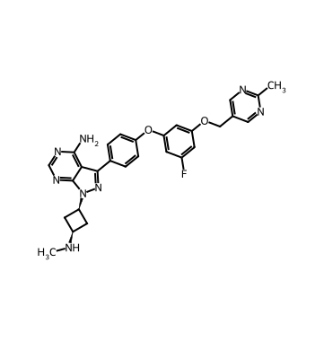 CN[C@H]1C[C@@H](n2nc(-c3ccc(Oc4cc(F)cc(OCc5cnc(C)nc5)c4)cc3)c3c(N)ncnc32)C1